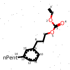 C=COC(=O)OCCCc1cccc(CCCCC)c1